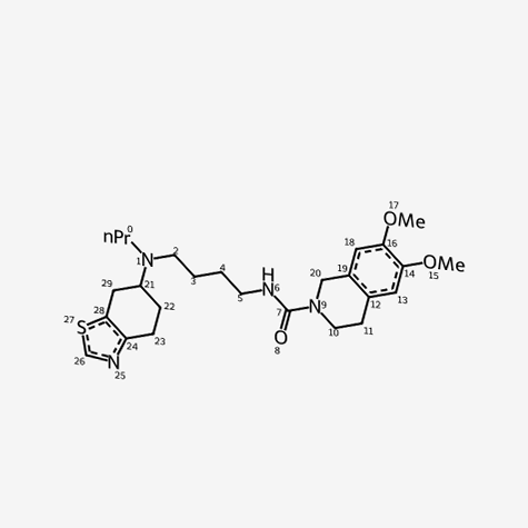 CCCN(CCCCNC(=O)N1CCc2cc(OC)c(OC)cc2C1)C1CCc2ncsc2C1